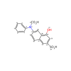 O=C(O)N(c1ccccc1)c1ccc2cc(S(=O)(=O)O)cc(O)c2c1